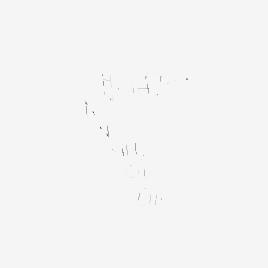 [Cu+2].[Cu+2].[Cu+2].[N-3].[N-3].[SiH4].[SiH4].[SiH4]